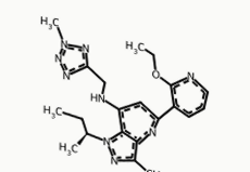 CCOc1ncccc1-c1cc(NCc2nnn(C)n2)c2c(n1)c(C)nn2[C@@H](C)CC